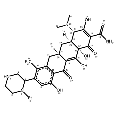 CCN1CCNCC1c1cc(O)c2c(c1C(F)(F)F)C[C@H]1C[C@H]3[C@H](N(C)C)C(O)=C(C(N)=O)C(=O)[C@@]3(O)C(O)=C1C2=O